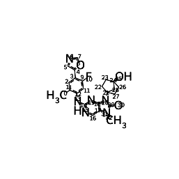 Cc1cc(-c2cnco2)c(F)cc1Nc1ncc2c(n1)n(C13CCC(O)(CC1)C3)c(=O)n2C